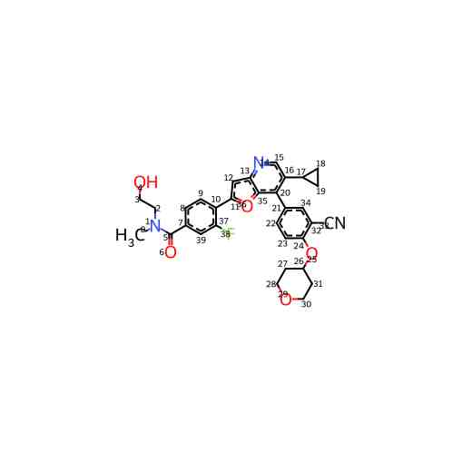 CN(CCO)C(=O)c1ccc(-c2cc3ncc(C4CC4)c(-c4ccc(OC5CCOCC5)c(C#N)c4)c3o2)c(F)c1